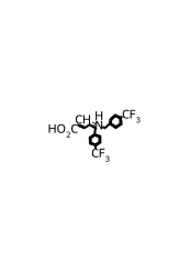 CC(=CCC(NCc1ccc(C(F)(F)F)cc1)c1ccc(C(F)(F)F)cc1)C(=O)O